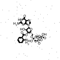 Nc1nc2c(ncn2[C@@H]2O[C@H](COP(=O)(O)OP(=O)(O)OP(=O)(O)O)[C@@H](OC(=O)c3ccccc3N)[C@H]2O)c(=O)[nH]1